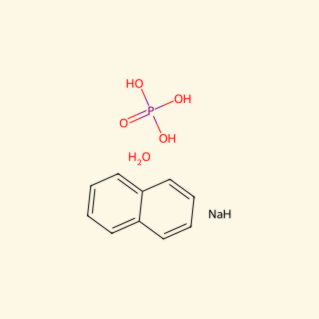 O.O=P(O)(O)O.[NaH].c1ccc2ccccc2c1